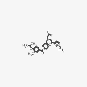 CCn1ccc(C2CN(CC(F)F)CC3(CCN(C(=O)c4ccc(OC(C)C)c(C)c4)CC3)O2)n1